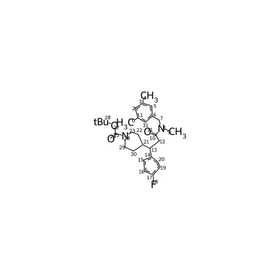 Cc1cc(C)cc(CN(C)C(=O)CC(c2ccc(F)cc2)C2CCN(C(=O)OC(C)(C)C)CC2)c1